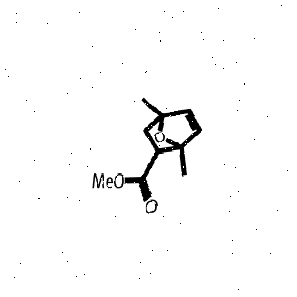 COC(=O)C1CC2(C)C=CC1(C)O2